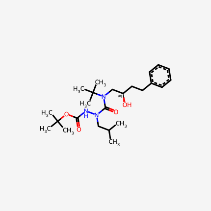 CC(C)CN(NC(=O)OC(C)(C)C)C(=O)N(C[C@H](O)CCc1ccccc1)C(C)(C)C